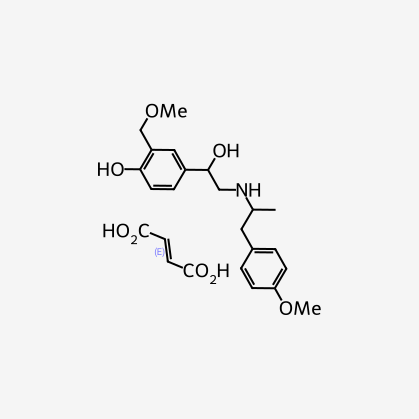 COCc1cc(C(O)CNC(C)Cc2ccc(OC)cc2)ccc1O.O=C(O)/C=C/C(=O)O